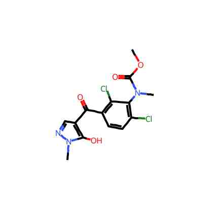 COC(=O)N(C)c1c(Cl)ccc(C(=O)c2cnn(C)c2O)c1Cl